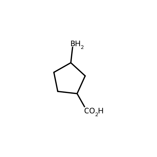 BC1CCC(C(=O)O)C1